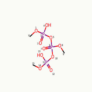 COP(=O)(O)OP(=O)(OC)OP(=O)(O)OC